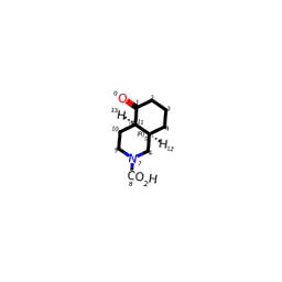 O=C1CCC[C@H]2CN(C(=O)O)CC[C@@H]12